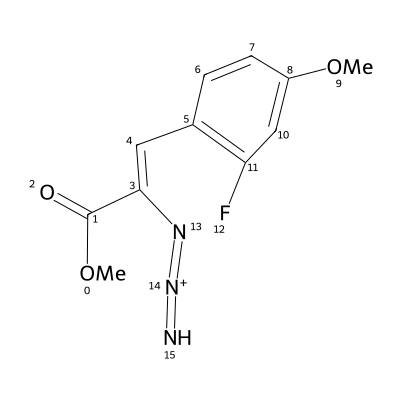 COC(=O)/C(=C/c1ccc(OC)cc1F)N=[N+]=N